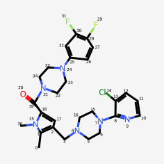 Cc1c(CN2CCN(c3ncccc3Cl)CC2)cc(C(=O)N2CCN(c3ccc(F)c(F)c3)CC2)n1C